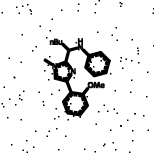 CCCCC(Nc1ccccc1)c1nc(-c2ccccc2OC)cn1C